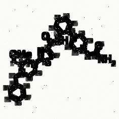 COC[C@@H]1CN(c2nc(C(=O)Nc3ccccc3N3CCN(CC(N)=O)CC3)cs2)CCN1Cc1ccccc1